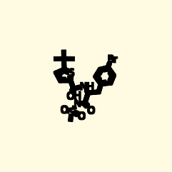 CC(C)(C)c1ccc(C(=O)NC(Cc2ccc(Br)cc2)C(=O)NS(C)(=O)=O)s1